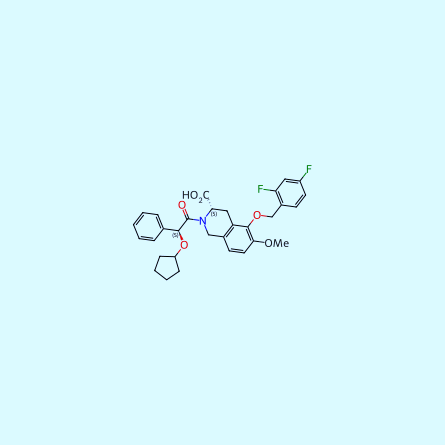 COc1ccc2c(c1OCc1ccc(F)cc1F)C[C@@H](C(=O)O)N(C(=O)[C@@H](OC1CCCC1)c1ccccc1)C2